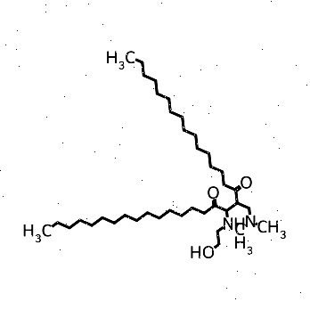 CCCCCCCCCCCCCCCC(=O)C(CN(C)C)C(NCCO)C(=O)CCCCCCCCCCCCCCC